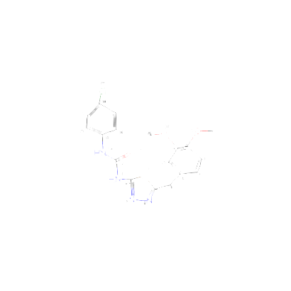 COc1ccc(Cc2nnc(NC(=O)Nc3ccc(Cl)cc3)s2)cc1OC